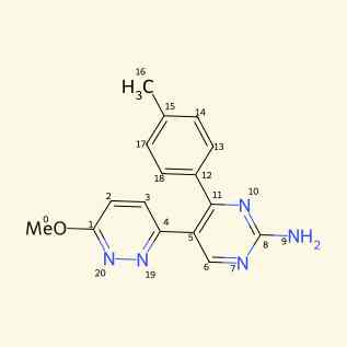 COc1ccc(-c2cnc(N)nc2-c2ccc(C)cc2)nn1